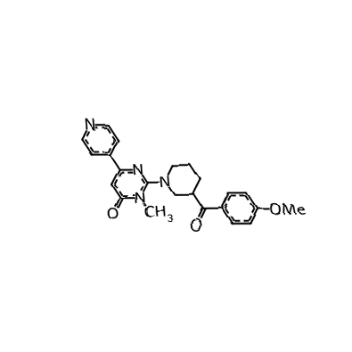 COc1ccc(C(=O)C2CCCN(c3nc(-c4ccncc4)cc(=O)n3C)C2)cc1